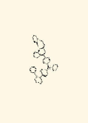 c1ccc(-c2ccccc2-c2ccc(N(c3ccccc3)c3ccc(-c4cc5ccc6ccccc6c5c5ccccc45)cc3)cc2)cc1